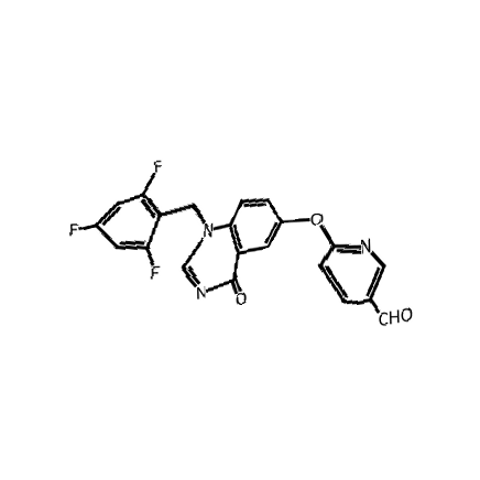 O=Cc1ccc(Oc2ccc3c(c2)c(=O)ncn3Cc2c(F)cc(F)cc2F)nc1